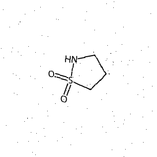 O=S1(=O)C[CH]CN1